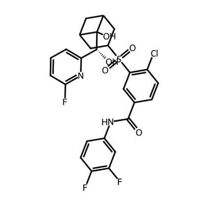 O=C(Nc1ccc(F)c(F)c1)c1ccc(Cl)c(S(=O)(=O)C2CC3CC(C2)C3(O)[C@H](O)c2cccc(F)n2)c1